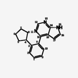 c1ccc(C2CCCC2)c(-c2ncnc3[nH]ccc23)c1